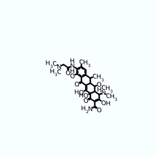 Cc1cc2c(c(O)c1NC(=O)CN(C)C)C(=O)C1=C(O)C3(O)C(=O)C(C(N)=O)=C(O)C(N(C)C)C3C(O)C1C2C